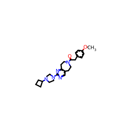 COc1ccc(CC(=O)N2CCc3cnc(N4CCN(C5CCC5)CC4)nc3CC2)cc1